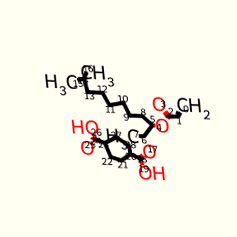 C=CC(=O)OC(CC)CCCCCCC(C)C.O=C(O)C1CCC(C(=O)O)CC1